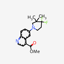 COC(=O)c1ccnc2ccc(N3CCC(F)(F)C(C)(C)C3)cc12